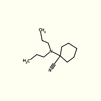 CCCN(CCC)C1(C#N)CCCCC1